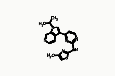 Cc1csc(Nc2nccc(-c3cn(C(C)C)c4cnccc34)n2)n1